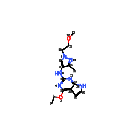 CCOc1nc(Nc2cn(CCOC)nc2C)nc2[nH]ccc12